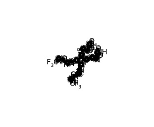 Cc1ccc2c(c1C1CCN(C[C@H]3CC[C@H](n4cc5cc(NC(=O)c6cccc(C(F)(F)F)n6)ncc5n4)CC3C3C[C@@H](n4cc5cc(NC(=O)c6cccc(C(F)(F)F)n6)ccc5n4)CC[C@@H]3CN3CCN(c4ccc5c(N6CCC(=O)NC6=O)cncc5c4)CC3)CC1)n(C)c(=O)n2C1CCC(=O)N(C)C1=O